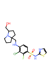 O=S(=O)(Nc1nccs1)c1ccc(NCC23CCCN2C(CO)CC3)c(Cl)c1F